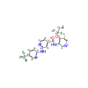 O=C(Nc1cnccc1OC(F)(F)CF)c1ccnc(Nc2ccc(C(F)(F)F)cn2)c1